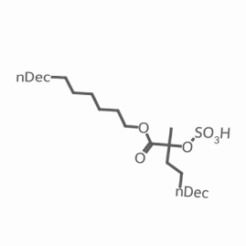 CCCCCCCCCCCCCCCCOC(=O)C(C)(CCCCCCCCCCCC)OS(=O)(=O)O